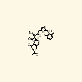 CC(=O)OCC1=C(C(=O)[O-])N2C(=O)C(NC(=O)Cc3csc(Nc4c(C)cccc4C)n3)[C@@H]2SC1.[Na+]